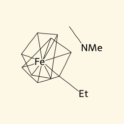 CC[C]12[CH]3[CH]4[CH]5[CH]1[Fe]45321678[CH]2[CH]1[CH]6[CH]7[CH]28.CNC